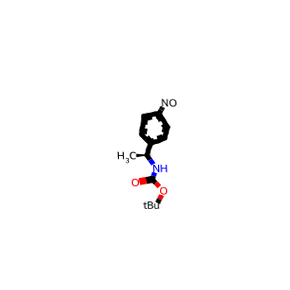 C[C@H](NC(=O)OC(C)(C)C)c1ccc(N=O)cc1